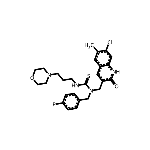 Cc1cc2cc(CN(Cc3ccc(F)cc3)C(=S)NCCCN3CCOCC3)c(=O)[nH]c2cc1Cl